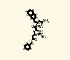 CCN(C(=O)[C@H](CCCC(=O)OCc1ccccc1)NC(=O)OC(C)(C)C)[C@H](CC(N)=O)Cc1ccc2ccccc2c1